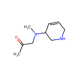 CC(=O)CN(C)C1C=CCNC1